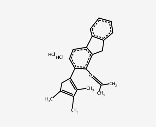 C[C](C)=[Zr][c]1c(C2=C(C)C(C)=C(C)C2)ccc2c1Cc1ccccc1-2.Cl.Cl